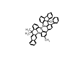 Cc1cc2c3c(c1)N1c4cc5ccccc5cc4C(C)(C)c4cccc(c41)B3N1c3cccc4c3C(C)(c3ccccc3-4)c3c(-c4ccccc4)ccc-2c31